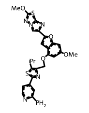 COc1cc(OCc2nc(-c3ccnc(P)c3)sc2C(C)C)c2cc(-c3cn4nc(OC)sc4n3)oc2c1